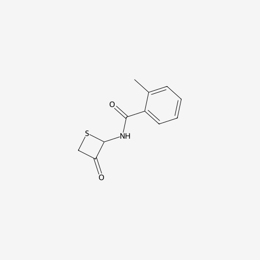 Cc1ccccc1C(=O)NC1SCC1=O